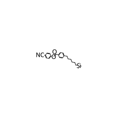 C[Si](C)(C)CCCCCCc1ccc(C(=O)Oc2ccc(C#N)cc2)cc1